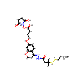 CC(C)(CC(=O)N/N=C1\CCOc2cc(OCCCC(=O)ON3C(=O)CCC3=O)ccc21)SSCCC=O